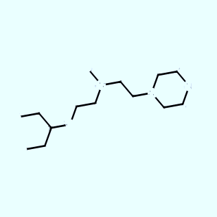 CCC(CC)OCCN(C)CCN1CCNCC1